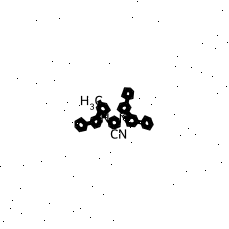 Cc1ccc2c(c1)c1cc(-c3ccccc3)ccc1n2-c1cc(C#N)cc(-n2c3ccc(-c4ccccc4)cc3c3cc(-c4ccccc4)ccc32)c1